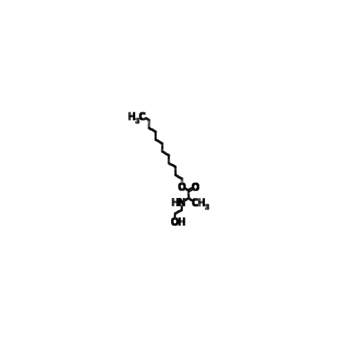 CCCCCCCCCCCCOC(=O)C(C)NCCO